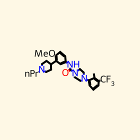 CCCN1CCC(c2cc(NC(=O)N3CCN(c4cccc(C(F)(F)F)c4C)CC3)ccc2OC)CC1